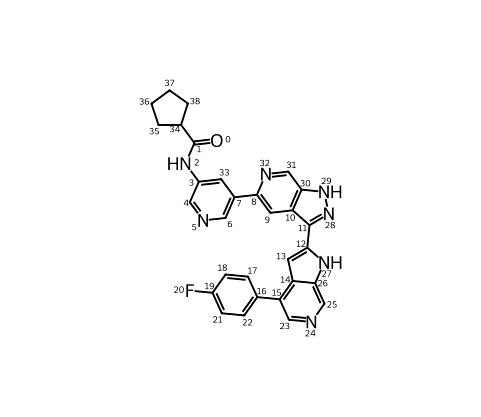 O=C(Nc1cncc(-c2cc3c(-c4cc5c(-c6ccc(F)cc6)cncc5[nH]4)n[nH]c3cn2)c1)C1CCCC1